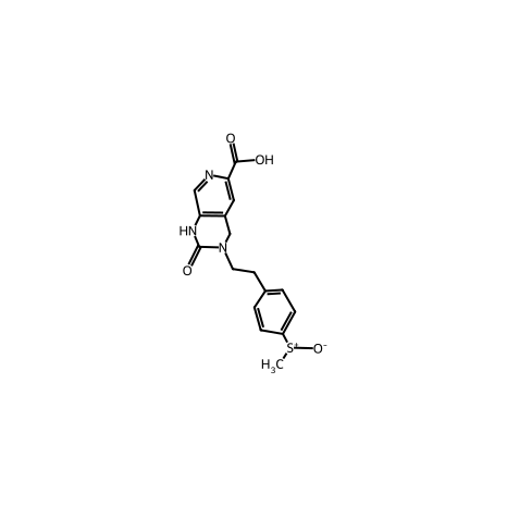 C[S+]([O-])c1ccc(CCN2Cc3cc(C(=O)O)ncc3NC2=O)cc1